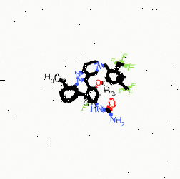 CCc1cccc(CC)c1-n1nc2c(c1-c1cc(F)c(NC(N)=O)cc1OC)CN(Cc1ccc(C(F)(F)F)cc1C(F)(F)F)CC2